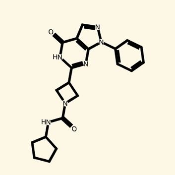 O=C(NC1CCCC1)N1CC(c2nc3c(cnn3-c3ccccc3)c(=O)[nH]2)C1